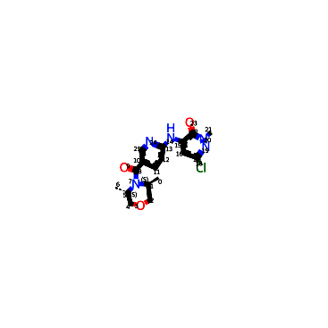 C[C@H]1COC[C@H](C)N1C(=O)c1ccc(Nc2cc(Cl)nn(C)c2=O)nc1